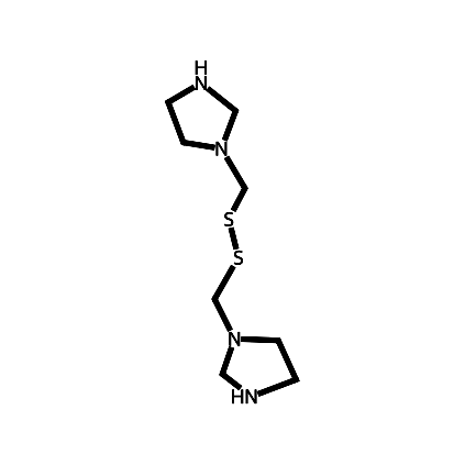 C1CN(CSSCN2CCNC2)CN1